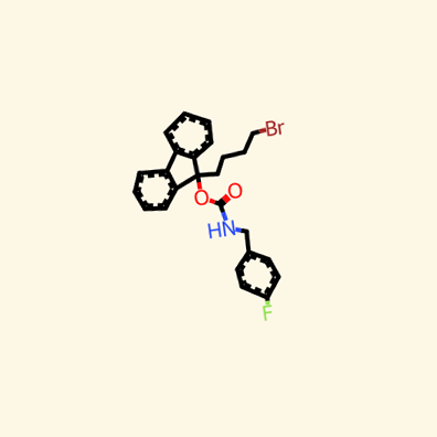 O=C(NCc1ccc(F)cc1)OC1(CCCCBr)c2ccccc2-c2ccccc21